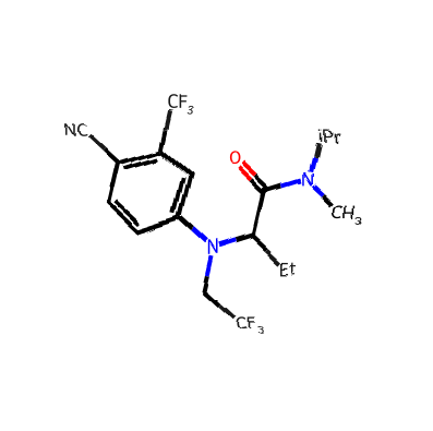 CCC(C(=O)N(C)C(C)C)N(CC(F)(F)F)c1ccc(C#N)c(C(F)(F)F)c1